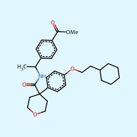 COC(=O)c1ccc(C(C)NC(=O)C2(c3ccc(OCCC4CCCCC4)cc3)CCOCC2)cc1